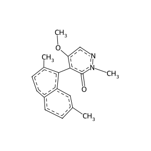 COc1cnn(C)c(=O)c1-c1c(C)ccc2ccc(C)cc12